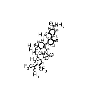 C=C(/C=C(\C=C(/C)C(F)(F)F)C(F)(F)F)[C@H]1OC(=O)N(CC2=C(c3ccc(F)c(-c4ccc(C(N)=O)cc4C)c3)CCC(C)(C)C2)[C@H]1C